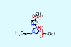 C=CCCN1CC(OC(=O)CCCCCCCC)[N+]([O-])(c2ncc(S(C)(=O)=O)s2)C1